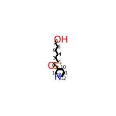 [O-][S+](CCCCCCO)c1cccnc1